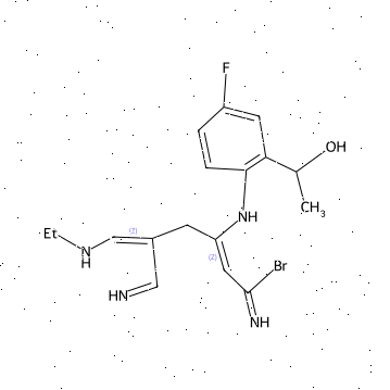 CCN/C=C(\C=N)C/C(=C/C(=N)Br)Nc1ccc(F)cc1C(C)O